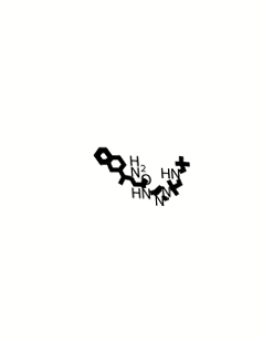 CC(C(N)CC(=O)Nc1cn(C(C)(C)CNCC(C)(C)C)cn1)C1CCc2ccccc2C1